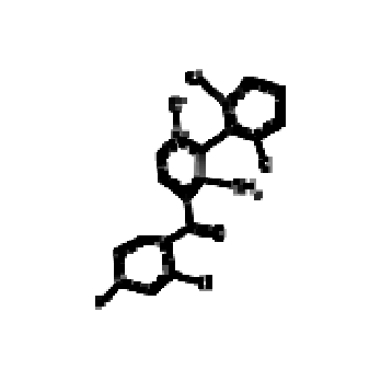 Nc1c(C(=O)c2ccc(F)cc2Cl)cc[n+]([O-])c1-c1c(Cl)cccc1Cl